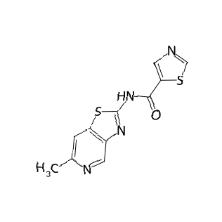 Cc1cc2sc(NC(=O)c3cncs3)nc2cn1